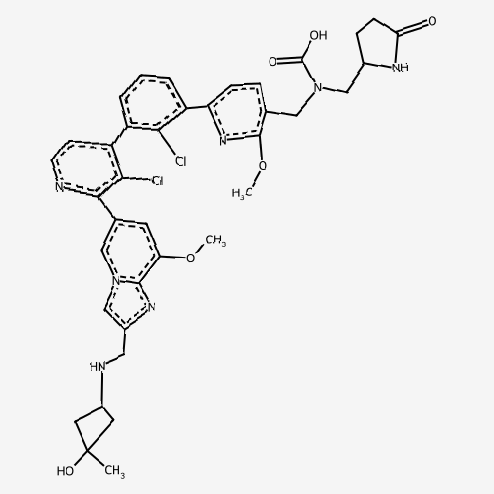 COc1nc(-c2cccc(-c3ccnc(-c4cc(OC)c5nc(CNC6CC(C)(O)C6)cn5c4)c3Cl)c2Cl)ccc1CN(CC1CCC(=O)N1)C(=O)O